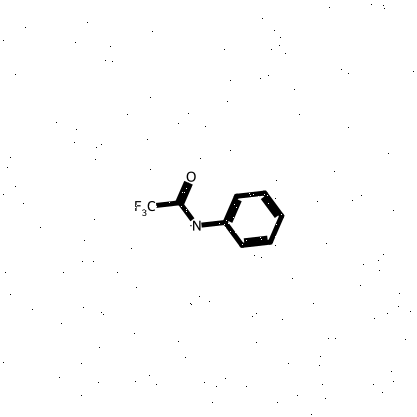 O=C([N]c1ccccc1)C(F)(F)F